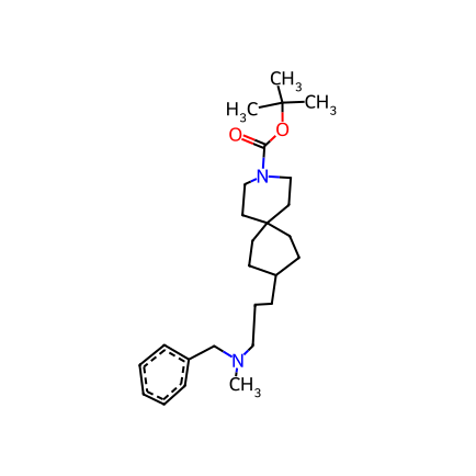 CN(CCCC1CCC2(CC1)CCN(C(=O)OC(C)(C)C)CC2)Cc1ccccc1